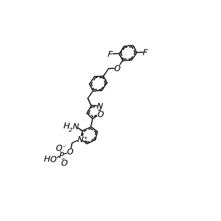 Nc1c(-c2cc(Cc3ccc(COc4cc(F)ccc4F)cc3)no2)ccc[n+]1COP(=O)([O-])O